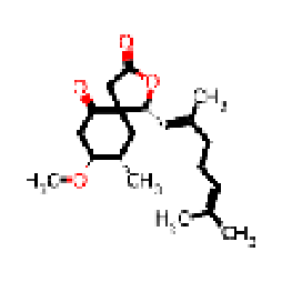 CO[C@@H]1CC(=O)C2(CC(=O)O[C@@H]2/C=C(\C)CCC=C(C)C)C[C@@H]1C